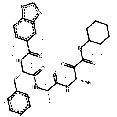 CC(C)[C@H](NC(=O)[C@H](C)NC(=O)[C@H](Cc1ccccc1)NC(=O)c1ccc2ncsc2c1)C(=O)C(=O)NC1CCCCC1